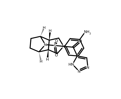 Nc1cccc(S(=O)(=O)N2[C@@H]3CC[C@H]2[C@@H]2CN(C(=O)c4cnn[nH]4)C[C@@H]23)c1